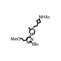 COCCc1cc(N2CCN(CCC3CC(NC(C)=O)C3)C(C)C2)nc(C(C)(C)C)n1